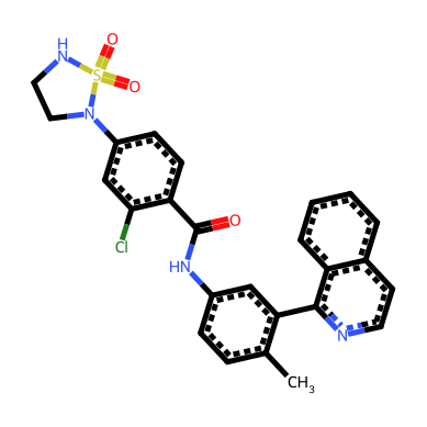 Cc1ccc(NC(=O)c2ccc(N3CCNS3(=O)=O)cc2Cl)cc1-c1nccc2ccccc12